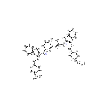 O=Cc1ccc(CC[n+]2c(/C=C3/C=C4C=C(/C=C5\Sc6ccccc6N5CCc5ccc(C(=O)O)cc5)CCC4CC3)sc3ccccc32)cc1